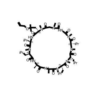 C=CCOC(C)(C)C[C@H]1C(=O)N[C@H](C(C)C)C(=O)N(C)[C@H](CC(C)C)C(=O)N[C@H](C)C(=O)NC(C)C(=O)N(C)[C@@H](CC(C)C)C(=O)N(C)[C@@H](CC(C)C)C(=O)N(C)[C@@H](C(C)C)C(=O)N(C)C(=O)NC(=O)N(C)CC(=O)N1C